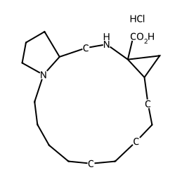 Cl.O=C(O)C12CC1CCCCCCCCCN1CCCC1CN2